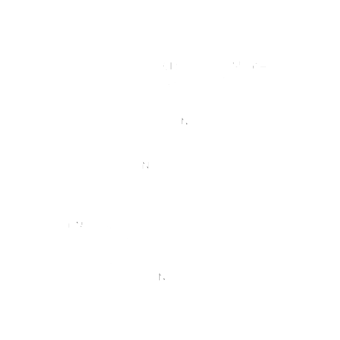 COc1ccc(N2CCC(N3CCC(c4c[nH]c5ccc(C#N)cc45)CC3)CC2)c(OC)c1